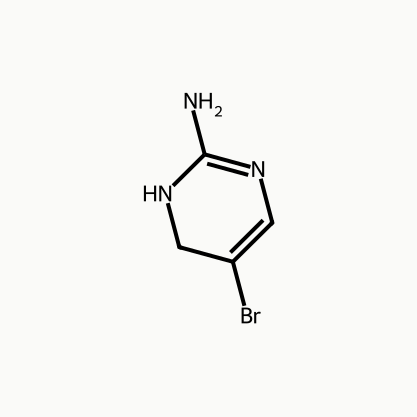 NC1=NC=C(Br)CN1